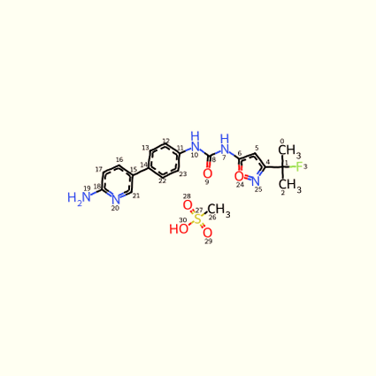 CC(C)(F)c1cc(NC(=O)Nc2ccc(-c3ccc(N)nc3)cc2)on1.CS(=O)(=O)O